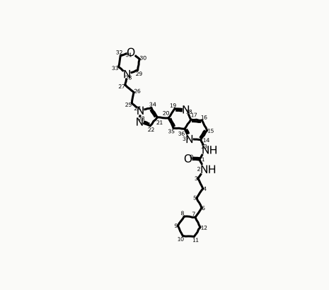 O=C(NCCCCC1CCCCC1)Nc1ccc2ncc(-c3cnn(CCCN4CCOCC4)c3)cc2n1